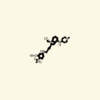 COc1cc(NCC#Cc2cc3c(NC4CCN(C)CC4)cccc3n2CC(F)(F)F)ccc1S(C)(=O)=O